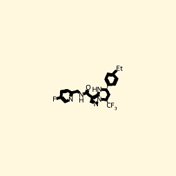 CCc1ccc([C@@H]2C[C@H](C(F)(F)F)n3ncc(C(=O)NCc4ccc(F)cn4)c3N2)cc1